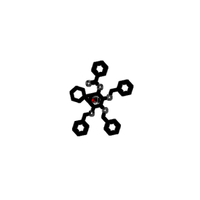 O=C(OC1C(OCc2ccccc2)C(OCc2ccccc2)C(OCc2ccccc2)C2(O)C3(CCCCC3)C12O)c1ccccc1